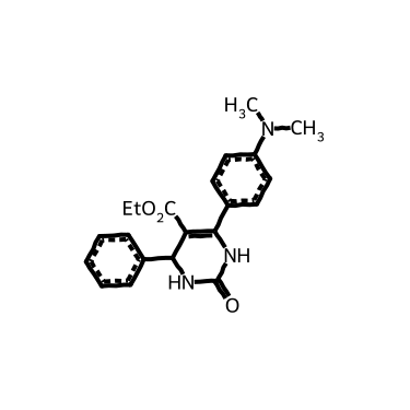 CCOC(=O)C1=C(c2ccc(N(C)C)cc2)NC(=O)NC1c1ccccc1